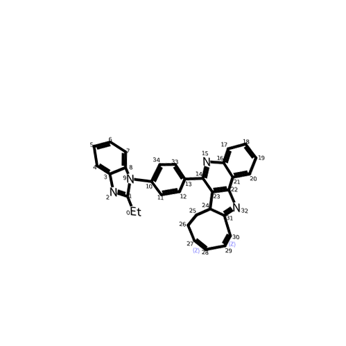 CCc1nc2ccccc2n1-c1ccc(-c2nc3ccccc3c3c2C2CC/C=C\C=C/C2=N3)cc1